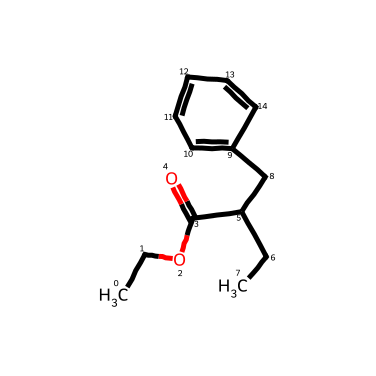 CCOC(=O)C(CC)Cc1ccccc1